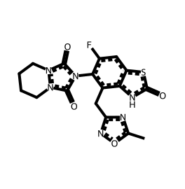 Cc1nc(Cc2c(-n3c(=O)n4n(c3=O)CCCC4)c(F)cc3sc(=O)[nH]c23)no1